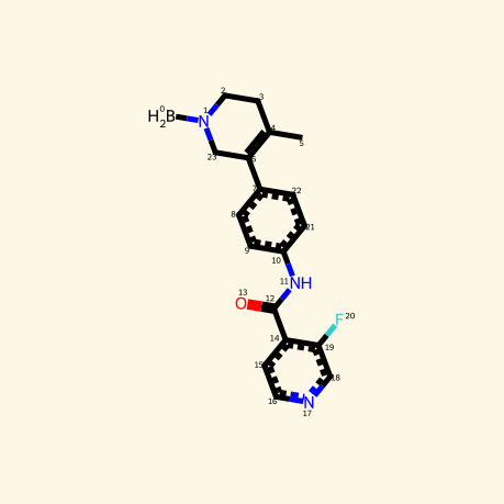 BN1CCC(C)=C(c2ccc(NC(=O)c3ccncc3F)cc2)C1